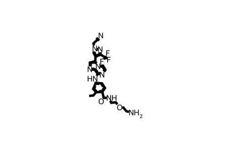 CCc1cc(Nc2nccn3c(-c4cn(CC#N)nc4C(F)(F)F)cnc23)ccc1C(=O)NCCOCCN